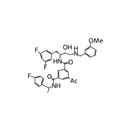 COc1cccc(CNC[C@@H](O)[C@H](Cc2cc(F)cc(F)c2)NC(=O)c2cc(C(C)=O)cc(C(=O)NC(C)c3ccc(F)cc3)c2)c1